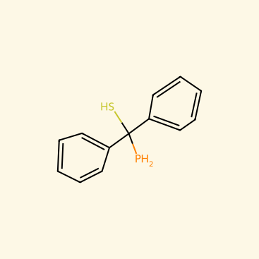 PC(S)(c1ccccc1)c1ccccc1